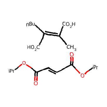 CC(C)OC(=O)/C=C/C(=O)OC(C)C.CCCC/C(C(=O)O)=C(/C)C(=O)O